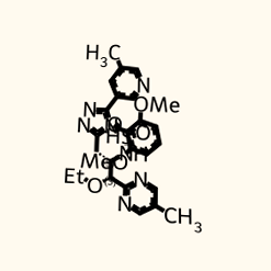 CCO[C@H](c1ncc(C)cn1)[C@H](Cc1nnc(-c2cncc(C)c2)n1-c1c(OC)cccc1OC)N[SH](=O)=O